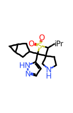 CC(C)C1C2(CCNC2)C(c2ccn[nH]2)(C2CC3CC3C2)S1(=O)=O